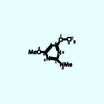 CNc1nc(OC)cc(OC(F)(F)F)n1